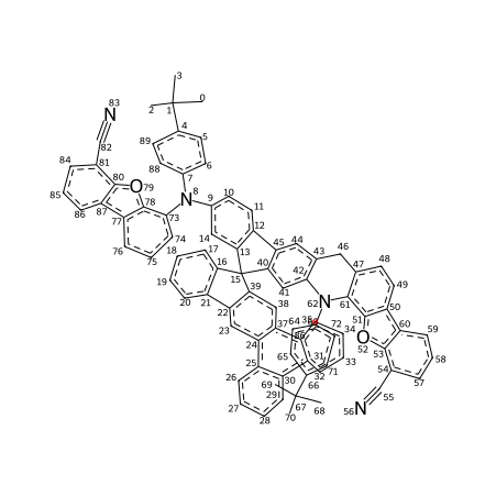 CC(C)(C)c1ccc(N(c2ccc3c(c2)C2(c4ccccc4-c4cc5c6ccccc6c6ccccc6c5cc42)c2cc4c(cc2-3)Cc2ccc3c(oc5c(C#N)cccc53)c2N4c2ccc(C(C)(C)C)cc2)c2cccc3c2oc2c(C#N)cccc23)cc1